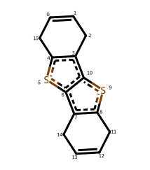 C1=CCc2c(sc3c4c(sc23)CC=CC4)C1